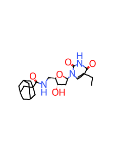 CCc1cn([C@H]2C[C@H](O)[C@@H](CNC(=O)C34CC5CC(CC(C5)C3)C4)O2)c(=O)[nH]c1=O